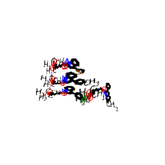 COC(=O)C(C)(C)CCCCOc1cc(-c2ccc(C(F)(F)F)cc2)c2ccccc2n1.COC(=O)C(C)(C)CCCCOc1cc(-c2ccc(C)cc2)c2ccccc2n1.COC(=O)C(C)(C)CCCCOc1cc(-c2cccs2)c2ccccc2n1.COC(=O)C(C)(C)CCCCOc1nc2cc(C)ccc2cc1-c1ccccc1